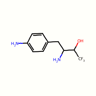 Nc1ccc(CC(N)C(O)C(F)(F)F)cc1